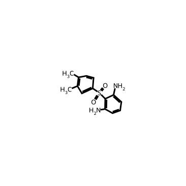 Cc1ccc(S(=O)(=O)c2c(N)cccc2N)cc1C